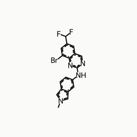 Cn1cc2ccc(Nc3ncc4cc(C(F)F)cc(Br)c4n3)cc2c1